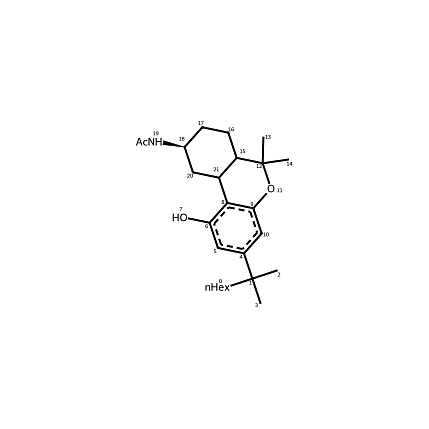 CCCCCCC(C)(C)c1cc(O)c2c(c1)OC(C)(C)C1CC[C@H](NC(C)=O)CC21